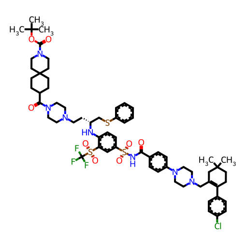 CC1(C)CCC(c2ccc(Cl)cc2)=C(CN2CCN(c3ccc(C(=O)NS(=O)(=O)c4ccc(N[C@H](CCN5CCN(C(=O)C6CCC7(CC6)CCN(C(=O)OC(C)(C)C)CC7)CC5)CSc5ccccc5)c(S(=O)(=O)C(F)(F)F)c4)cc3)CC2)C1